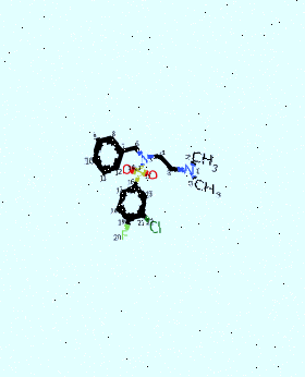 CN(C)CCN(Cc1ccccc1)S(=O)(=O)c1ccc(F)c(Cl)c1